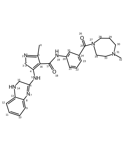 Cc1nsc(NC2=Nc3ccccc3NC2)c1C(=O)Nc1cccc(C(=O)N2CCCN(C)CC2)c1